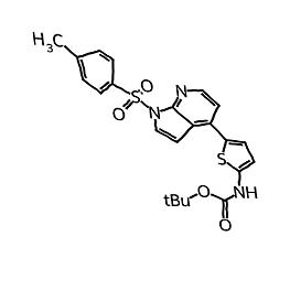 Cc1ccc(S(=O)(=O)n2ccc3c(-c4ccc(NC(=O)OC(C)(C)C)s4)ccnc32)cc1